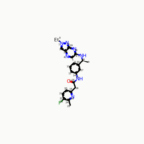 CCn1cc2ncc(N[C@@H](C)c3cccc(NC(=O)Cc4ccc(F)c(C)n4)c3)nc2n1